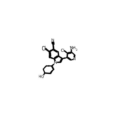 N#Cc1cc2c(-c3cncc(N)c3Cl)cn(C3CCC(O)CC3)c2cc1Cl